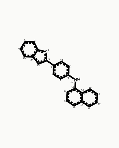 c1ccc2sc(-c3ccc(Nc4cccc5ccccc45)cc3)cc2c1